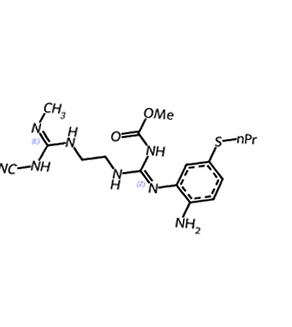 CCCSc1ccc(N)c(/N=C(/NCCN/C(=N\C)NC#N)NC(=O)OC)c1